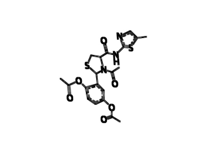 CC(=O)Oc1ccc(OC(C)=O)c(C2SCC(C(=O)Nc3ncc(C)s3)N2C(C)=O)c1